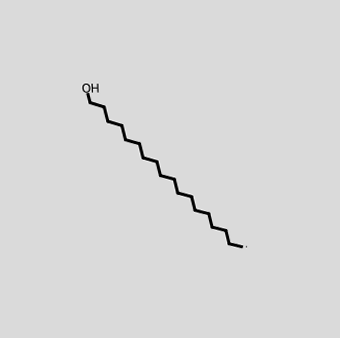 [CH2]CCCCCCCCCCCCCCCCCO